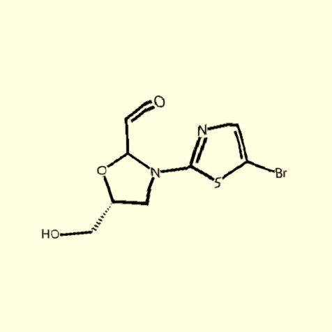 O=CC1O[C@@H](CO)CN1c1ncc(Br)s1